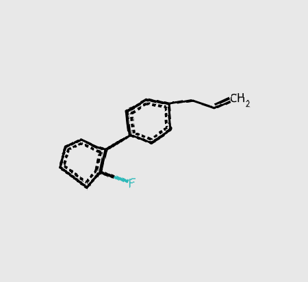 C=CCc1ccc(-c2ccccc2F)cc1